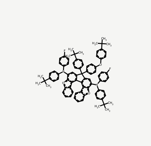 CC(C)(C)c1ccc(Oc2ccc(C3(c4ccc(C(C)(C)C)cc4)c4cc(N(c5ccc(F)cc5)c5ccc(C(C)(C)C)cc5)c5oc6ccccc6c5c4-c4c3cc(N(c3ccc(F)cc3)c3ccc(C(C)(C)C)cc3)c3oc5ccccc5c43)cc2)cc1